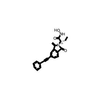 C=C1c2cc(C#Cc3ccccc3)ccc2C(=O)N1[C@@H](CC)C(=O)NO